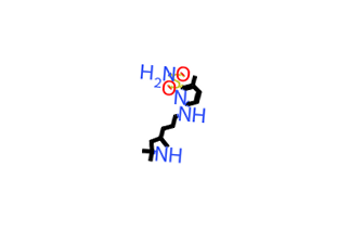 Cc1ccc(NCCCC2CNC(C)(C)C2)nc1S(N)(=O)=O